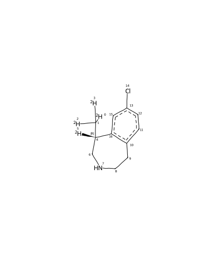 [2H]C([2H])([2H])[C@@]1([2H])CNCCc2ccc(Cl)cc21